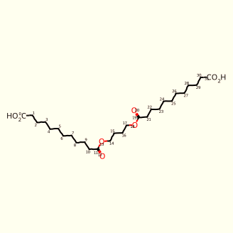 O=C(O)CCCCCCCCCCC(=O)OCCCCOC(=O)CCCCCCCCCCC(=O)O